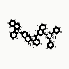 CC1CC2CC(n3c4c(c5c6ccccc6ccc53)C=CCC4)=CC=C2C=C1C1C=CCCC1C(C)C1=CC(C2=NC(c3ccccc3)NC(c3ccccc3)=N2)=C2CCC=CC2C1